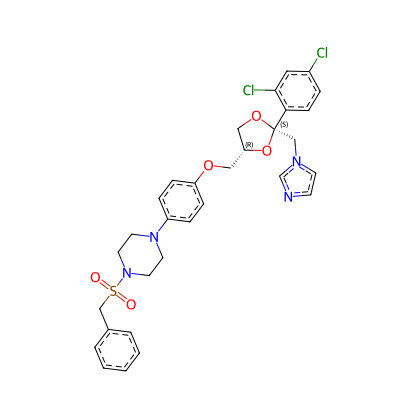 O=S(=O)(Cc1ccccc1)N1CCN(c2ccc(OC[C@@H]3CO[C@@](Cn4ccnc4)(c4ccc(Cl)cc4Cl)O3)cc2)CC1